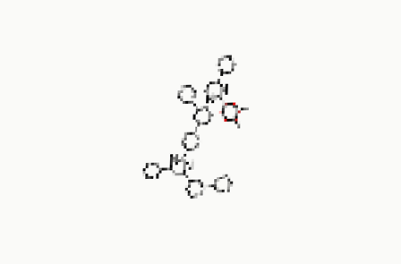 C=C/C=C\C(=C/C=C)c1cc(-c2ccc(-c3nc(-c4ccccc4)cc(-c4cccc(-c5ccccc5)c4)n3)cc2)cc(-c2ccccc2-c2cc(-c3ccccc3)nc(-c3ccccc3)n2)c1